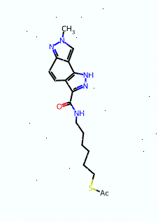 CC(=O)SCCCCCCNC(=O)c1n[nH]c2c1ccc1nn(C)cc12